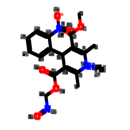 COC(=O)C1=C(C)NC(C)=C(C(=O)OCN=O)C1c1ccccc1[N+](=O)[O-].[Pb]